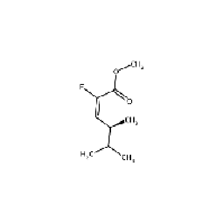 COC(=O)/C(F)=C\[C@@H](C)C(C)C